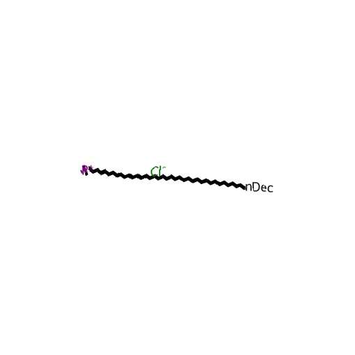 CCCCCCCCCCCCCCCCCCCCCCCCCCCCCCCCCCCCCCCCCCCCCCCC[P+](C)(C)C.[Cl-]